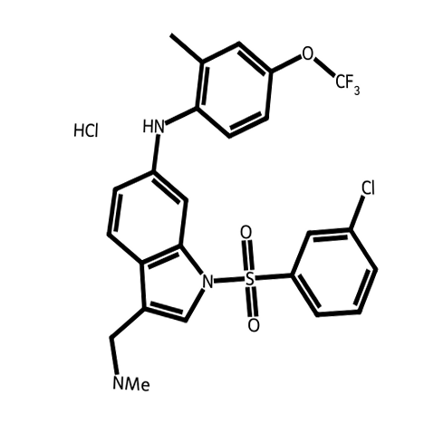 CNCc1cn(S(=O)(=O)c2cccc(Cl)c2)c2cc(Nc3ccc(OC(F)(F)F)cc3C)ccc12.Cl